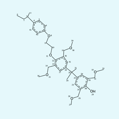 CCC(C)c1ccc(OCCOc2c(COC)cc(C(C)(C)c3cc(COC)c(O)c(COC)c3)cc2COC)cc1